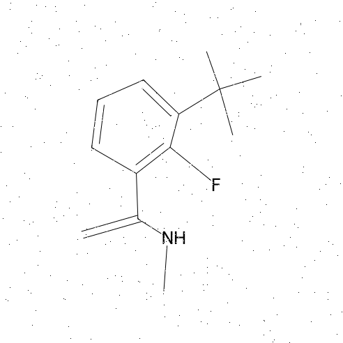 C=C(NC)c1cccc(C(C)(C)C)c1F